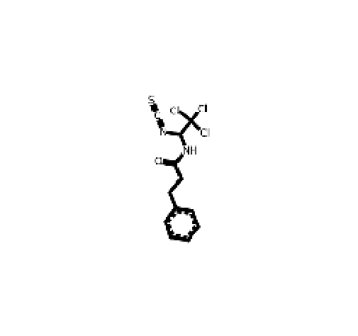 O=C(CCc1ccccc1)NC(N=C=S)C(Cl)(Cl)Cl